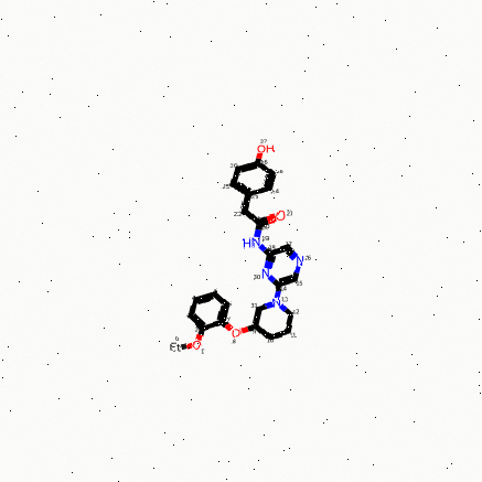 CCOc1ccccc1OC1CCCN(c2cncc(NC(=O)Cc3ccc(O)cc3)n2)C1